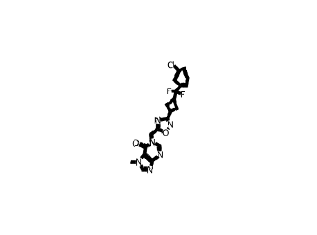 Cn1cnc2ncn(Cc3nc(C4CC(C(F)(F)c5cccc(Cl)c5)C4)no3)c(=O)c21